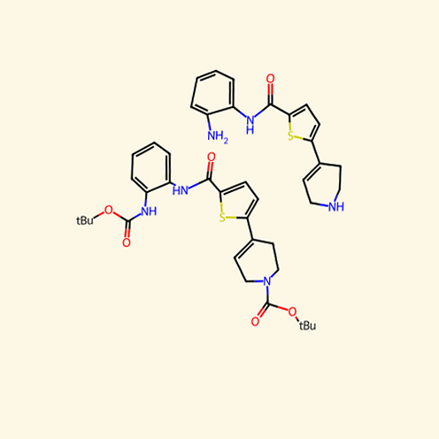 CC(C)(C)OC(=O)Nc1ccccc1NC(=O)c1ccc(C2=CCN(C(=O)OC(C)(C)C)CC2)s1.Nc1ccccc1NC(=O)c1ccc(C2=CCNCC2)s1